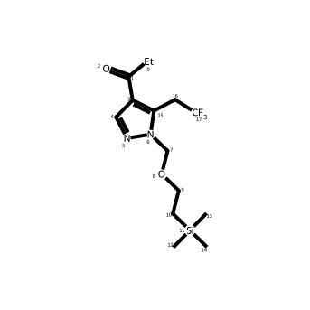 CCC(=O)c1cnn(COCC[Si](C)(C)C)c1CC(F)(F)F